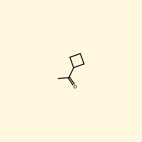 CC(=O)C1[CH]CC1